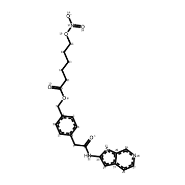 O=C(Cc1ccc(COC(=O)CCCCCO[N+](=O)[O-])cc1)Nc1cc2ccncc2s1